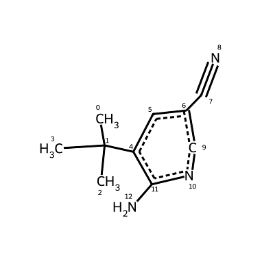 CC(C)(C)c1cc(C#N)cnc1N